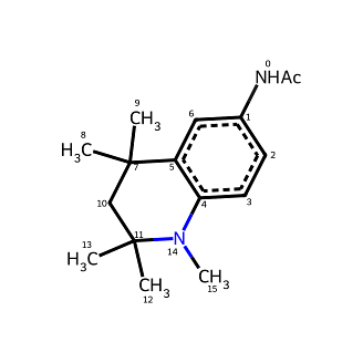 CC(=O)Nc1ccc2c(c1)C(C)(C)CC(C)(C)N2C